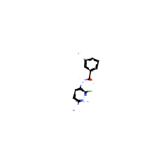 CC(C)Nc1ccc(NC(=O)c2cccc(C(F)(F)F)c2)c(Cl)n1